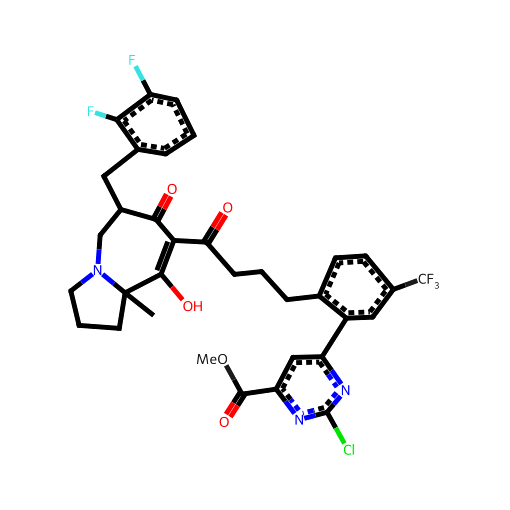 COC(=O)c1cc(-c2cc(C(F)(F)F)ccc2CCCC(=O)C2=C(O)C3(C)CCCN3CC(Cc3cccc(F)c3F)C2=O)nc(Cl)n1